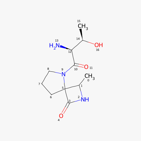 CC1NC(=O)C12CCCN2C(=O)[C@@H](N)[C@@H](C)O